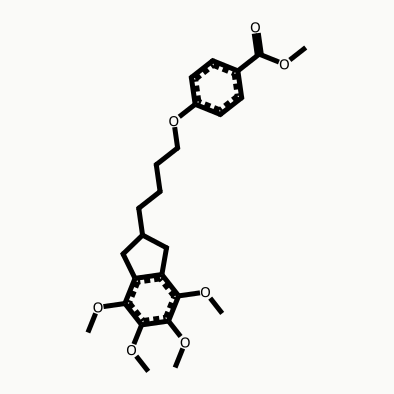 COC(=O)c1ccc(OCCCCC2Cc3c(c(OC)c(OC)c(OC)c3OC)C2)cc1